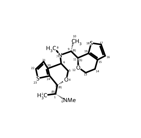 CN[C@H](C)[C@H]1OCC(N(C)[C@H](C)[C@@H]2OCCc3ccsc32)c2ccsc21